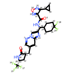 O=C(N[C@H](c1cn2ncc(C[C@H]3C[C@H](C(F)(F)F)NC3=O)cc2n1)C1CCC(F)(F)CC1)c1nonc1C1CC1